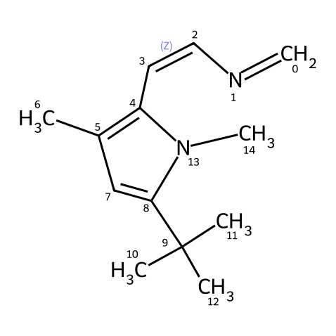 C=N/C=C\c1c(C)cc(C(C)(C)C)n1C